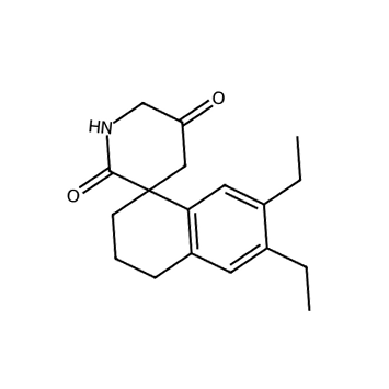 CCc1cc2c(cc1CC)C1(CCC2)CC(=O)CNC1=O